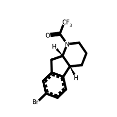 O=C(N1CCC[C@@H]2c3ccc(Br)cc3C[C@@H]21)C(F)(F)F